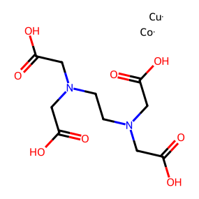 O=C(O)CN(CCN(CC(=O)O)CC(=O)O)CC(=O)O.[Co].[Cu]